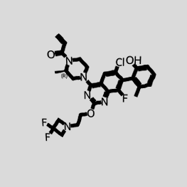 C=CC(=O)N1CCN(c2nc(OCCN3CC(F)(F)C3)nc3c(F)c(-c4c(C)cccc4O)c(Cl)cc23)C[C@H]1C